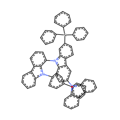 c1ccc(-c2ccc(-n3c4ccccc4c4cccc(-n5c6ccc(-n7c8ccccc8c8ccccc87)cc6c6ccc([Si](c7ccccc7)(c7ccccc7)c7ccccc7)cc65)c43)cc2)cc1